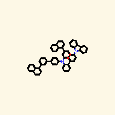 c1cc(-c2ccc(N(c3cccc(-c4cccc5ccccc45)c3)c3ccccc3-c3ccc(-n4c5ccccc5c5ccccc54)cc3)cc2)cc(-c2cccc3ccccc23)c1